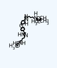 COBNCCCCc1ncc(-c2ccc(Oc3ccc(-c4cnc(CCCCNC(=O)OC(C)(C)C)[nH]4)cc3)cc2)[nH]1